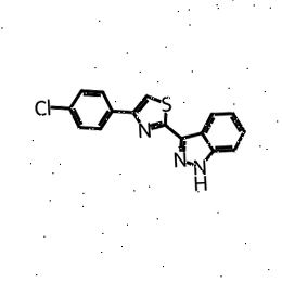 Clc1ccc(-c2csc(-c3n[nH]c4ccccc34)n2)cc1